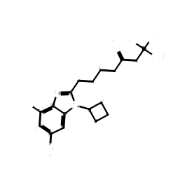 CC(C)(O)CC(=O)CCCCc1nc2c(C(F)(F)F)cc(Br)cc2n1C1CCC1